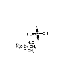 O.O.O.O.O.O=S(=O)(O)O.[Ce]